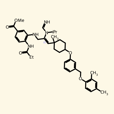 CCC(=O)Nc1ccc(C(=O)OC)cc1NC/C(=C/C1(C)CCC(Oc2cccc(COc3ccc(C)cc3C)c2)CC1)N(C=N)C(C)C